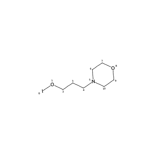 IOCCCN1CCOCC1